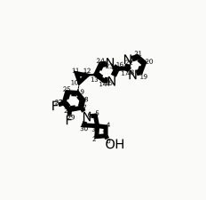 OC1CC2(C1)CN(c1cc([C@@H]3C[C@H]3c3cnc(-c4ncccn4)nc3)cc(F)c1F)C2